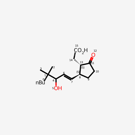 CCCCC(C)(C)C(O)C=C[C@@H]1CCC(=O)[C@H]1CC(=O)O